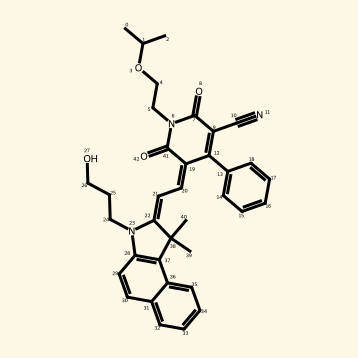 CC(C)OCCN1C(=O)C(C#N)=C(c2ccccc2)/C(=C/C=C2/N(CCCO)c3ccc4ccccc4c3C2(C)C)C1=O